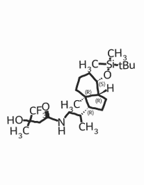 CC(CNC(=O)CC(C)(O)C(F)(F)F)[C@H]1CC[C@H]2[C@@H](O[Si](C)(C)C(C)(C)C)CCC[C@]12C